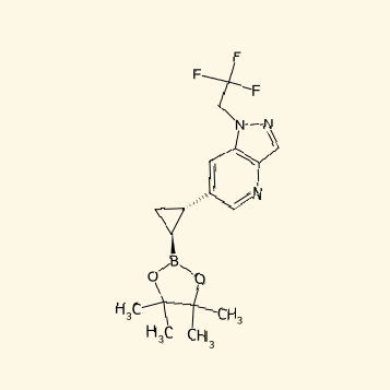 CC1(C)OB([C@H]2C[C@@H]2c2cnc3cnn(CC(F)(F)F)c3c2)OC1(C)C